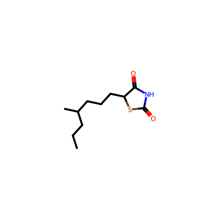 CCCC(C)CCCC1SC(=O)NC1=O